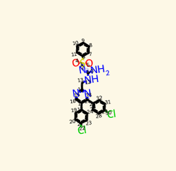 N/C(=N\S(=O)(=O)c1ccccc1)NCc1ncc(-c2ccc(Cl)cc2)c(-c2ccc(Cl)cc2)n1